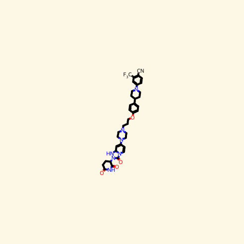 N#Cc1ccc(N2CCC(c3ccc(OCCCN4CCN(C5=CC6NN(C7CCC(=O)NC7=O)C(=O)N6C=C5)CC4)cc3)CC2)cc1C(F)(F)F